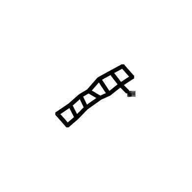 SC12CCC1C1C3C4C5CCC5C4C3C12